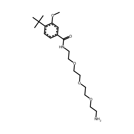 COc1cc(C(=O)NCCOCCOCCOCCN)ccc1C(C)(C)C